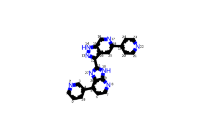 c1cncc(-c2ccnc3[nH]c(-c4n[nH]c5cnc(-c6ccncc6)cc45)nc23)c1